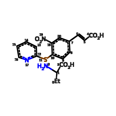 CCC(N)C(=O)O.O=C(O)C=Cc1ccc(Sc2ccccn2)c([N+](=O)[O-])c1